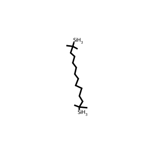 CC(C)([SiH3])CCCCCCCCCCC(C)(C)[SiH3]